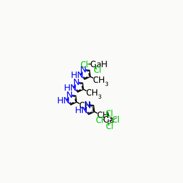 Cc1cn[nH]c1.Cc1cn[nH]c1.Cc1cn[nH]c1.Cc1cn[nH]c1.[Cl][Ga-]([Cl])([Cl])[Cl].[Cl][GaH][Cl]